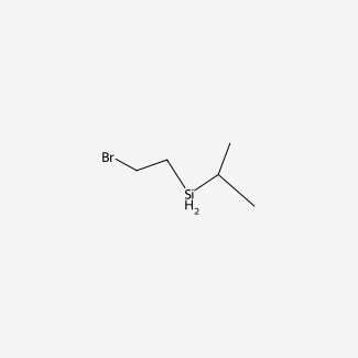 CC(C)[SiH2]CCBr